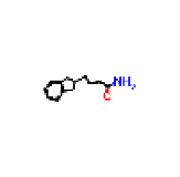 NC(=O)CCCC1Cc2ccccc2C1